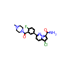 CN1CCN(C(=O)c2cc(-c3ccc4c(Cl)cc(C(N)=O)n4n3)ccc2F)CC1